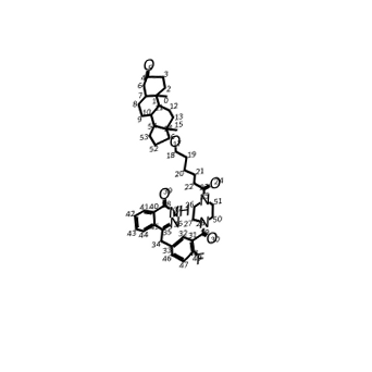 CC12CCC(=O)CC1CCC1C2CCC2(C)C(OCCCCCC(=O)N3CCN(C(=O)c4cc(Cc5n[nH]c(=O)c6ccccc56)ccc4F)CC3)CCC12